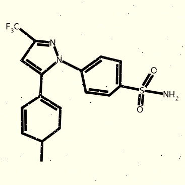 CC1C=CC(c2cc(C(F)(F)F)nn2-c2ccc(S(N)(=O)=O)cc2)=CC1